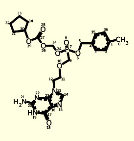 Cc1ccc(COP(=O)(COCCn2cnc3c(=O)[nH]c(N)nc32)OCOC(=O)OC2CCCC2)cc1